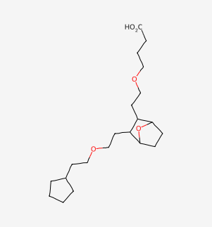 O=C(O)CCCOCCC1C2CCC(O2)C1CCOCCC1CCCC1